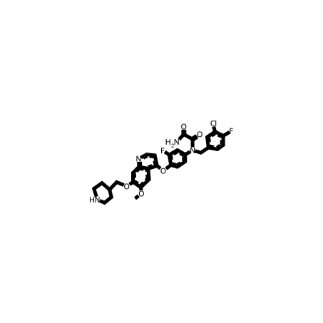 COc1cc2c(Oc3ccc(N(Cc4ccc(F)c(Cl)c4)C(=O)C(N)=O)cc3F)ccnc2cc1OCC1CCNCC1